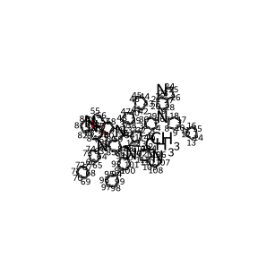 CC1(C)c2cc(N(c3ccc(-c4ccccc4)cc3)c3ccc4ncccc4c3)ccc2-c2cc3c(N(c4ccc(-c5ccccc5)cc4)c4ccc5ncccc5c4)c4cc(N(c5ccc(-c6ccccc6)cc5)c5ccc6ncccc6c5)ccc4c(N(c4ccc(-c5ccccc5)cc4)c4ccc5ncccc5c4)c3cc21